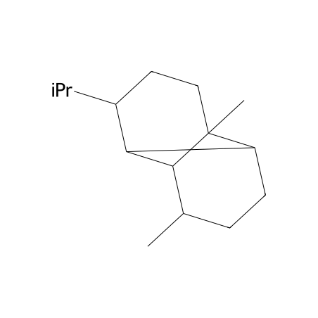 CC(C)C1CCC2(C)C3CCC(C)C2C13